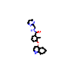 Cc1c(Oc2ccnc3ccccc23)cccc1C(=O)NCc1ncccn1